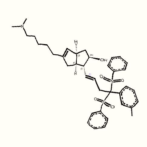 Cc1cccc(C(C/C=C/[C@@H]2[C@H]3CC(CCCCCN(C)C)=C[C@H]3C[C@H]2O)(S(=O)(=O)c2ccccc2)S(=O)(=O)c2ccccc2)c1